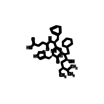 CC[C@@H](C[C@@H](O)[C@H](CC1CCCCC1)NC(=O)[C@H](Cc1c[nH]cn1)NC(=O)[C@H](Cc1ccccc1)NC(=O)CCC(=O)O)C(C)C